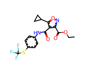 CCOC(=O)c1noc(C2CC2)c1C(=O)Nc1ccc(SC(F)(F)F)cc1